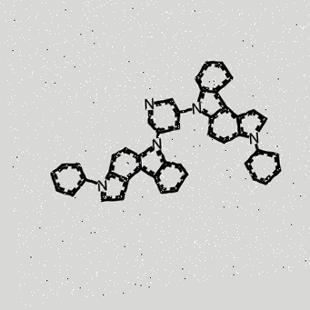 c1ccc(-n2ccc3c4c5ccccc5n(-c5cncc(-n6c7ccccc7c7c8ccn(-c9ccccc9)c8ccc76)c5)c4ccc32)cc1